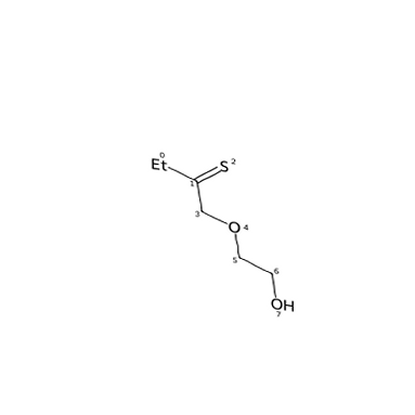 CCC(=S)COCCO